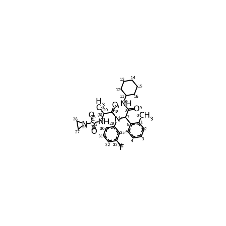 Cc1ccccc1C(C(=O)NC1CCCCC1)N(C(=O)[C@H](C)NS(=O)(=O)N1CC1)c1cccc(F)c1